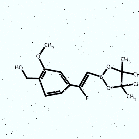 COc1cc(/C(F)=C/B2OC(C)(C)C(C)(C)O2)ccc1CO